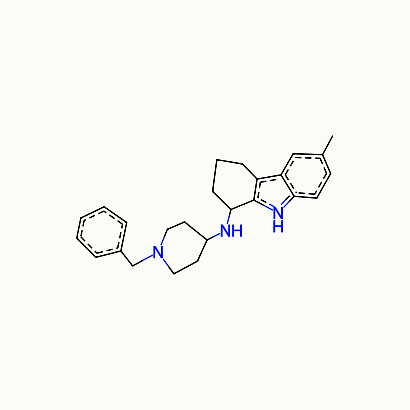 Cc1ccc2[nH]c3c(c2c1)CCCC3NC1CCN(Cc2ccccc2)CC1